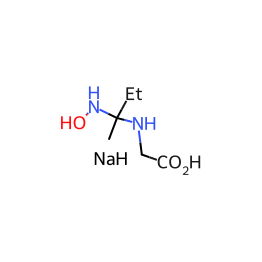 CCC(C)(NO)NCC(=O)O.[NaH]